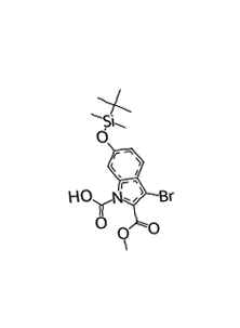 COC(=O)c1c(Br)c2ccc(O[Si](C)(C)C(C)(C)C)cc2n1C(=O)O